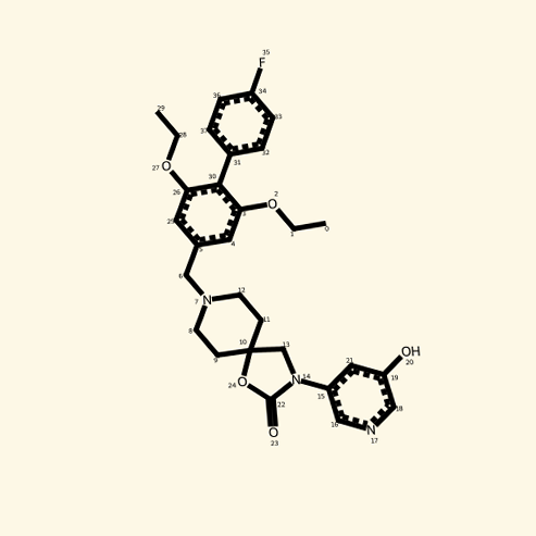 CCOc1cc(CN2CCC3(CC2)CN(c2cncc(O)c2)C(=O)O3)cc(OCC)c1-c1ccc(F)cc1